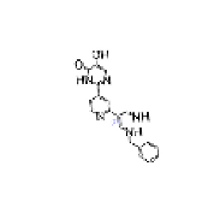 N=C/C(=C\NCc1ccccc1)c1cc(-c2ncc(O)c(=O)[nH]2)ccn1